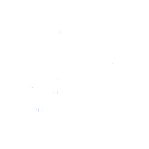 Cl.N=C(N)N/N=C/c1ccccc1-c1ccccc1